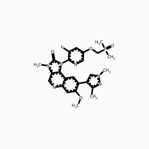 COc1cc2ncc3c(c2cc1-c1cn(C)nc1C)n(-c1ncc(OCP(C)(C)=O)cc1F)c(=O)n3C